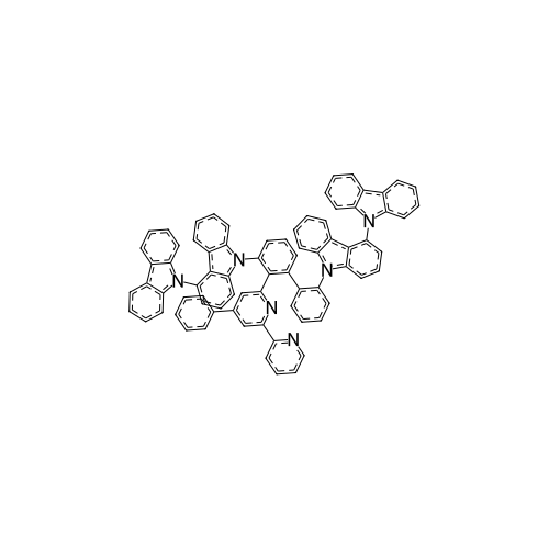 c1ccc(-c2cc(-c3ccccn3)nc(-c3c(-c4ccccc4-n4c5ccccc5c5c(-n6c7ccccc7c7ccccc76)cccc54)cccc3-n3c4ccccc4c4c(-n5c6ccccc6c6ccccc65)cccc43)c2)cc1